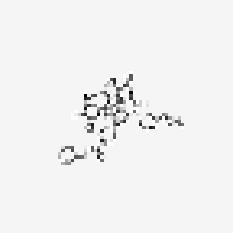 COc1cccc(C(Nc2cc(Cl)c3ncc(C#N)c(Nc4ccc(F)c(Cl)c4)c3c2)C2=CN(C3CCN(C(=O)OCc4ccccc4)CC3)NN2)c1